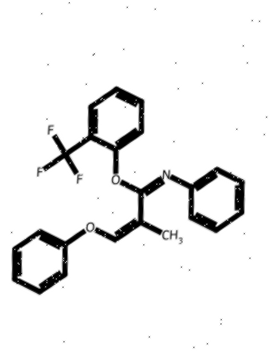 CC(=COc1ccccc1)C(=Nc1ccccc1)Oc1ccccc1C(F)(F)F